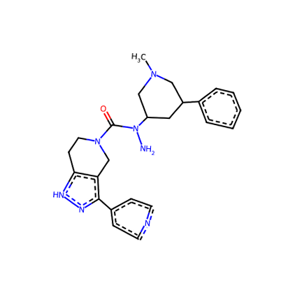 CN1CC(c2ccccc2)CC(N(N)C(=O)N2CCc3[nH]nc(-c4ccncc4)c3C2)C1